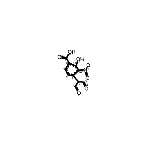 O=CC(C=O)c1ccc(C(=O)O)c(O)c1[N+](=O)[O-]